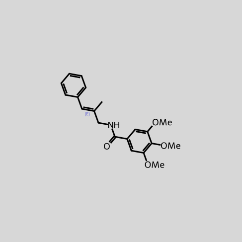 COc1cc(C(=O)NC/C(C)=C/c2ccccc2)cc(OC)c1OC